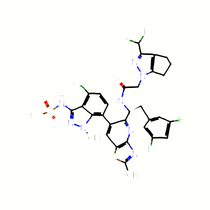 Cc1nc2nc([C@H](Cc3cc(F)cc(F)c3)NC(=O)Cn3nc(C(F)F)c4c3CCC4)c(-c3ccc(Cl)c4c(NS(C)(=O)=O)nn(C)c34)cc2s1